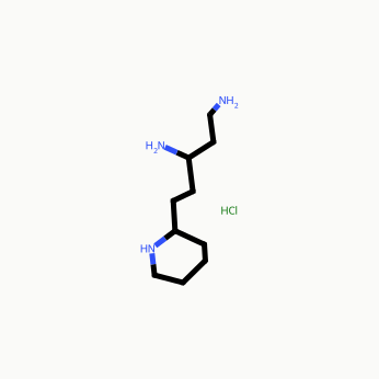 Cl.NCCC(N)CCC1CCCCN1